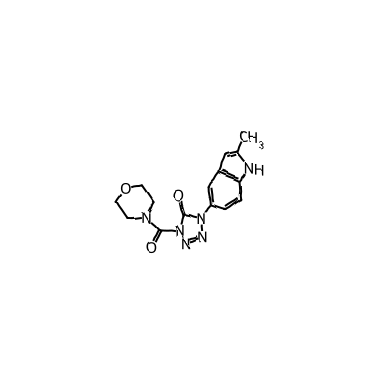 Cc1cc2cc(-n3nnn(C(=O)N4CCOCC4)c3=O)ccc2[nH]1